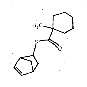 CC1(C(=O)OC2CC3C=CC2C3)CCCCC1